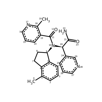 Cc1cccc2c1CC[C@H]2N(C(=O)c1cccnc1C)[C@@H](C(N)=O)c1cccnc1